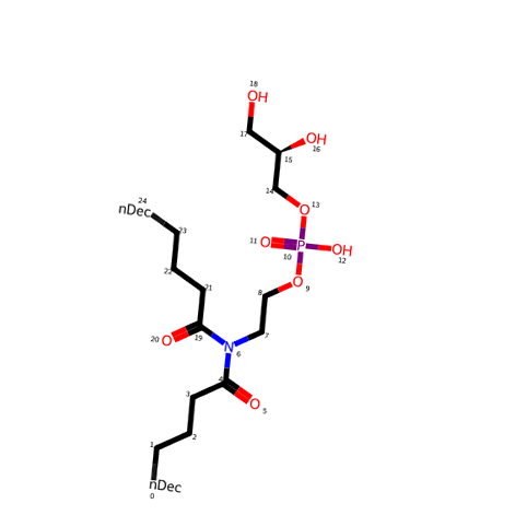 CCCCCCCCCCCCCC(=O)N(CCOP(=O)(O)OC[C@H](O)CO)C(=O)CCCCCCCCCCCCC